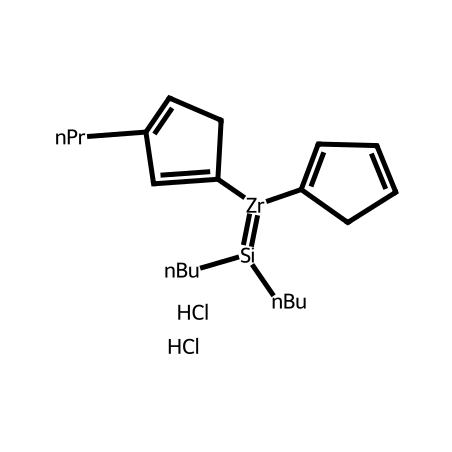 CCCC[Si](CCCC)=[Zr]([C]1=CC=CC1)[C]1=CC(CCC)=CC1.Cl.Cl